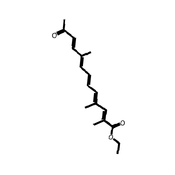 CCOC(=O)/C(C)=C/C(C)=C/C=C/C=C(C)/C=C/C(C)=O